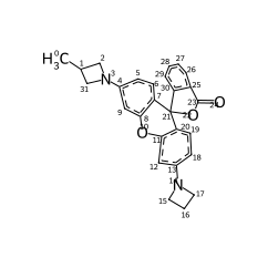 CC1CN(c2ccc3c(c2)Oc2cc(N4CCC4)ccc2C32OC(=O)c3ccccc32)C1